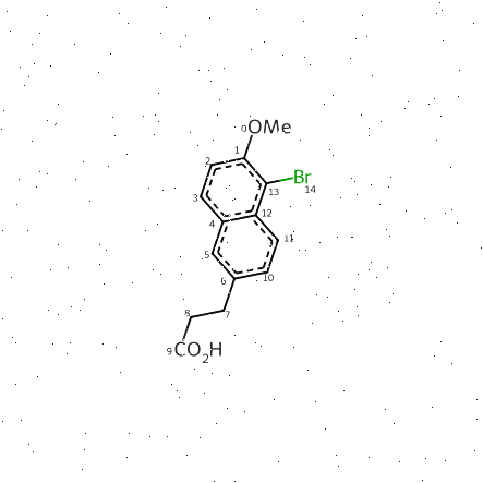 COc1ccc2cc(CCC(=O)O)ccc2c1Br